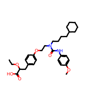 CCOC(Cc1ccc(OCCN(CCCCC2CCCCC2)C(=O)Nc2ccc(OC)cc2)cc1)C(=O)O